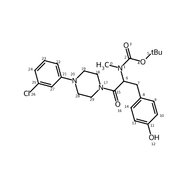 CN(C(=O)OC(C)(C)C)C(Cc1ccc(O)cc1)C(=O)N1CCN(c2cccc(Cl)c2)CC1